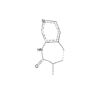 CC1CCc2ccncc2NC1=O